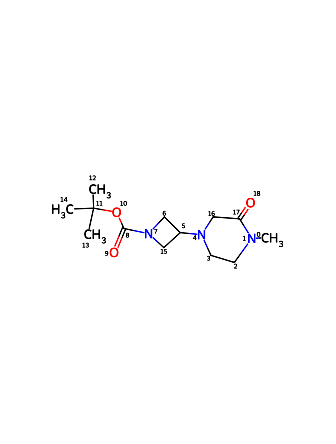 CN1CCN(C2CN(C(=O)OC(C)(C)C)C2)CC1=O